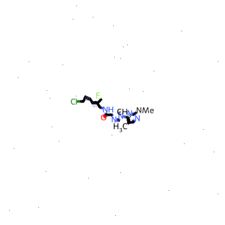 CNc1ncc(C)c(N(C)/C=N\CC(=O)NC/C(=C/C=C\CCl)CF)n1